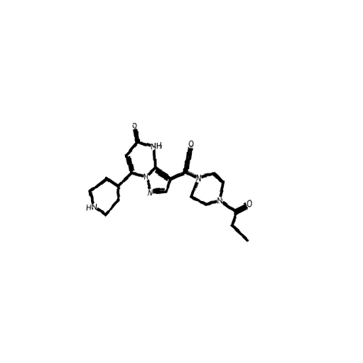 CCC(=O)N1CCN(C(=O)c2cnn3c(C4CCNCC4)cc(=O)[nH]c23)CC1